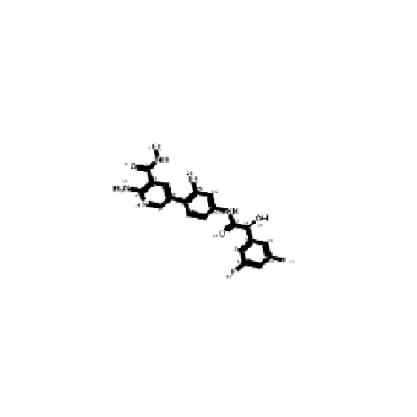 CCNC(=O)c1cc(-c2ccc(NC(=O)[C@@H](O)c3cc(F)cc(F)c3)cc2CC)cnc1N